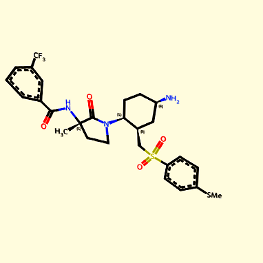 CSc1ccc(S(=O)(=O)C[C@@H]2C[C@H](N)CC[C@@H]2N2CC[C@](C)(NC(=O)c3cccc(C(F)(F)F)c3)C2=O)cc1